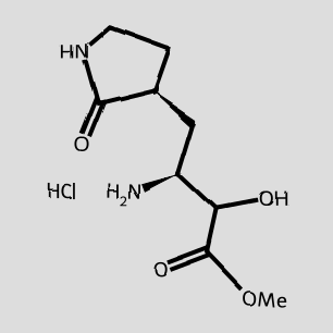 COC(=O)C(O)[C@@H](N)C[C@@H]1CCNC1=O.Cl